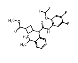 COC(=O)C1CC(N(C(=O)Nc2cc(F)c(F)cc2OC(F)F)c2ccccc2C(C)C)C1